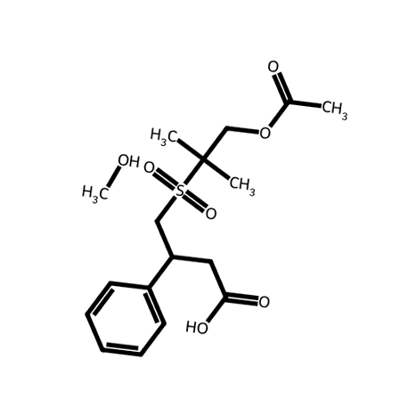 CC(=O)OCC(C)(C)S(=O)(=O)CC(CC(=O)O)c1ccccc1.CO